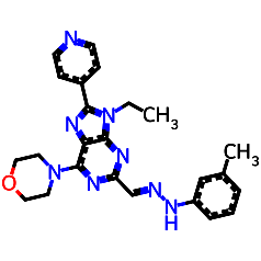 CCn1c(-c2ccncc2)nc2c(N3CCOCC3)nc(/C=N/Nc3cccc(C)c3)nc21